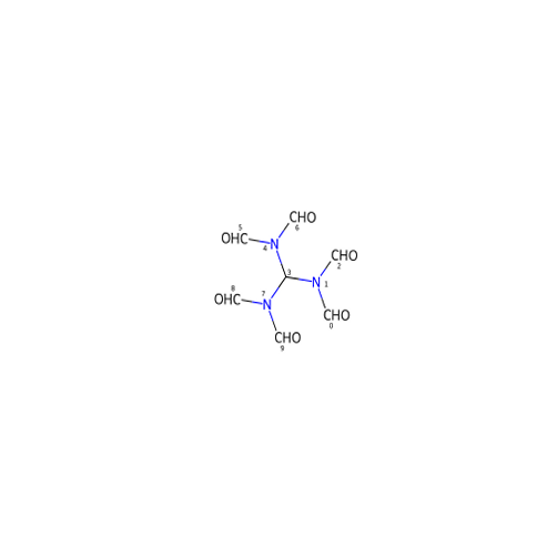 O=CN(C=O)C(N(C=O)C=O)N(C=O)C=O